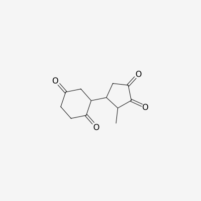 CC1C(=O)C(=O)CC1C1CC(=O)CCC1=O